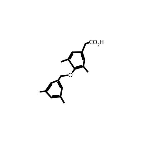 Cc1cc(C)cc(COc2c(C)cc(CC(=O)O)cc2C)c1